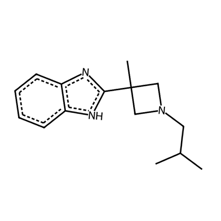 CC(C)CN1CC(C)(c2nc3ccccc3[nH]2)C1